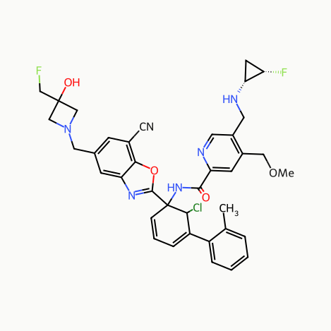 COCc1cc(C(=O)NC2(c3nc4cc(CN5CC(O)(CF)C5)cc(C#N)c4o3)C=CC=C(c3ccccc3C)C2Cl)ncc1CN[C@@H]1C[C@@H]1F